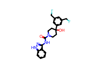 O=C(Nc1n[nH]c2ccccc12)N1CCC(O)(c2cc(CF)cc(CF)c2)CC1